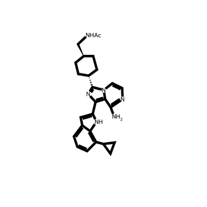 CC(=O)NC[C@H]1CC[C@H](c2nc(-c3cc4cccc(C5CC5)c4[nH]3)c3c(N)nccn32)CC1